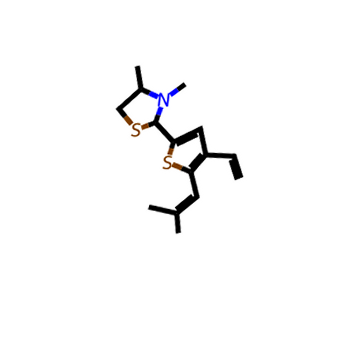 C=Cc1cc(C2SCC(C)N2C)sc1C=C(C)C